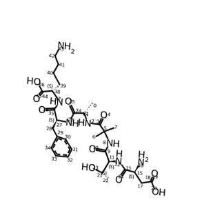 C[C@H](NC(=O)C(C)(C)NC(=O)[C@@H](NC(=O)[C@@H](N)CC(=O)O)[C@H](C)O)C(=O)N[C@@H](Cc1ccccc1)C(=O)N[C@@H](CCCCN)C(=O)O